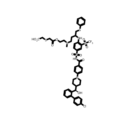 CN(CCOC(=O)CSCC(=O)O)CCC(CSc1ccccc1)Nc1ccc(S(=O)(=O)NC(=O)c2ccc(N3CCC([C@@H](O)c4ccccc4-c4ccc(Cl)cc4)CC3)cc2)cc1S(=O)(=O)C(F)(F)F